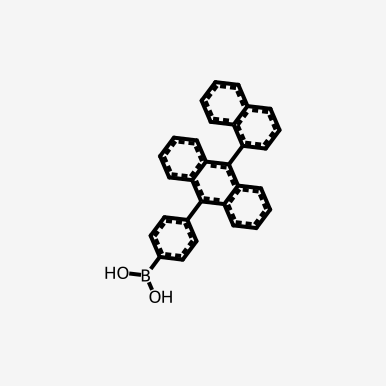 OB(O)c1ccc(-c2c3ccccc3c(-c3cccc4ccccc34)c3ccccc23)cc1